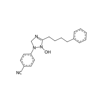 N#Cc1ccc(N2CN=C(CCCCc3ccccc3)N2O)cc1